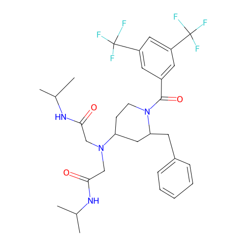 CC(C)NC(=O)CN(CC(=O)NC(C)C)C1CCN(C(=O)c2cc(C(F)(F)F)cc(C(F)(F)F)c2)C(Cc2ccccc2)C1